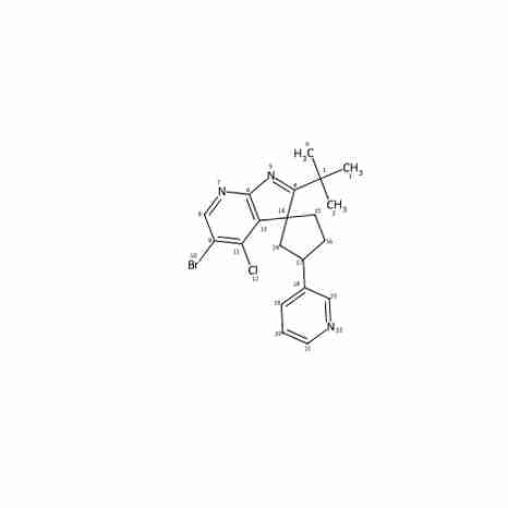 CC(C)(C)C1=Nc2ncc(Br)c(Cl)c2C12CCC(c1cccnc1)C2